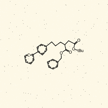 CC(C)(C)OC(=O)CC(CCCc1ccc(-c2ccccc2)cc1)C(=O)OCc1ccccc1